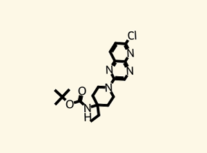 CCC1(NC(=O)OC(C)(C)C)CCN(c2cnc3nc(Cl)ccc3n2)CC1